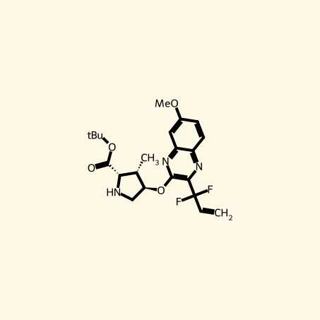 C=CC(F)(F)c1nc2ccc(OC)cc2nc1O[C@H]1CN[C@H](C(=O)OC(C)(C)C)[C@@H]1C